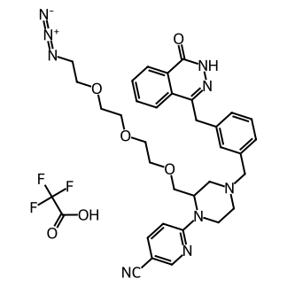 N#Cc1ccc(N2CCN(Cc3cccc(Cc4n[nH]c(=O)c5ccccc45)c3)CC2COCCOCCOCCN=[N+]=[N-])nc1.O=C(O)C(F)(F)F